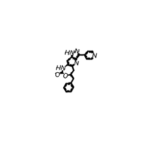 O=C1Nc2cc3[nH]nc(-c4ccncc4)c3nc2CC(Cc2ccccc2)O1